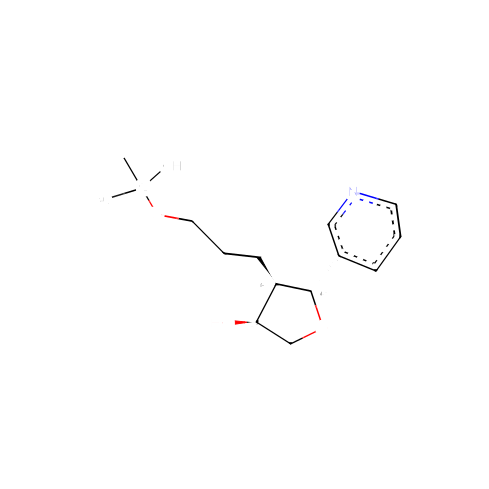 CC(C)(C)[Si](C)(C)OCCC[C@@H]1[C@H](O)CO[C@H]1c1cccnc1